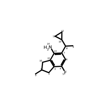 CC1Cc2c(F)cc(C(C)C3CC3)c(N)c2C1